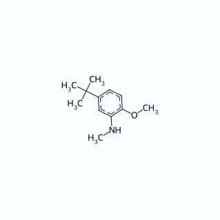 CNc1cc(C(C)(C)C)ccc1OC